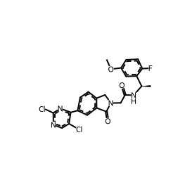 COc1ccc(F)c([C@@H](C)NC(=O)CN2Cc3ccc(-c4nc(Cl)ncc4Cl)cc3C2=O)c1